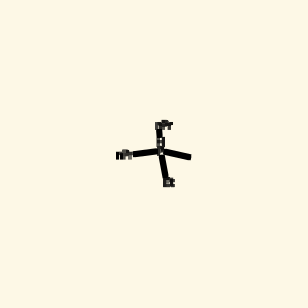 CCC[PH](C)(CC)CCC